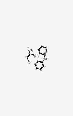 B(c1ccccc1)c1ccccc1.CC(=O)/C=C(/C)N